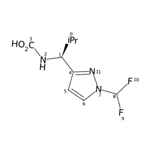 CC(C)[C@H](NC(=O)O)c1ccn(C(F)F)n1